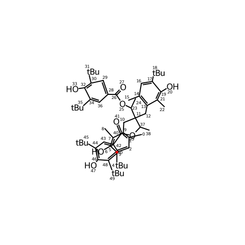 Cc1cc(C(C)(C)C)c(O)c(C)c1CC(Cc1c(C)cc(C(C)(C)C)c(O)c1C)(C(C)OC(=O)c1cc(C(C)(C)C)c(O)c(C(C)(C)C)c1)C(C)OC(=O)c1cc(C(C)(C)C)c(O)c(C(C)(C)C)c1